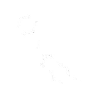 Brc1cnc2nc(COc3ccccn3)cn2c1